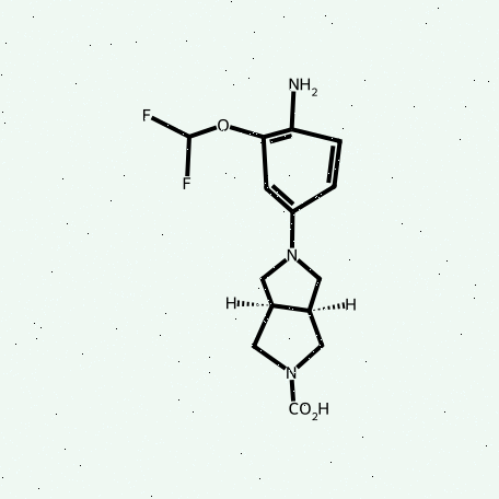 Nc1ccc(N2C[C@H]3CN(C(=O)O)C[C@H]3C2)cc1OC(F)F